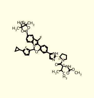 COC(=O)N[C@H](C(=O)N1CCC[C@H]1c1ncc(-c2ccc3c(c2)OC(c2ccc(C4CC4)s2)n2c-3c(F)c3cc(B4OC(C)(C)C(C)(C)O4)ccc32)[nH]1)C(C)C